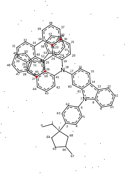 CCC1(c2ccc(-n3c4ccccc4c4ccc(N(c5ccccc5-c5cccc6cccc(-c7ccccc7)c56)c5cccc6c7ccccc7n(-c7ccccc7)c56)cc43)cc2)CCC(C)C1